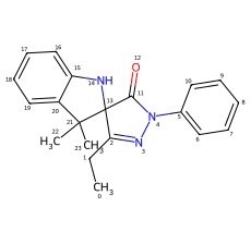 CCC1=NN(c2ccccc2)C(=O)C12Nc1ccccc1C2(C)C